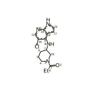 CCC(=O)N1CCCC(Nc2c(Cl)cnc3[nH]ccc23)C1